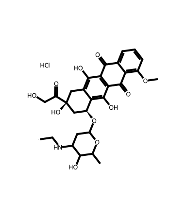 Cl.[CH2]CNC1CC(O[C@H]2C[C@](O)(C(=O)CO)Cc3c(O)c4c(c(O)c32)C(=O)c2c(OC)cccc2C4=O)OC(C)C1O